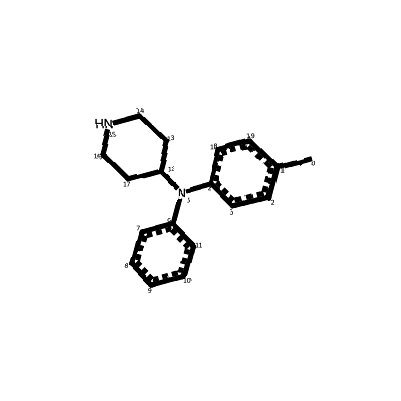 Cc1ccc(N(c2ccccc2)C2CCNCC2)cc1